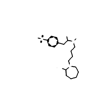 CCN(CCCCN1CCCCCC1C=O)C(C)Cc1ccc(S(C)(=O)=O)cc1